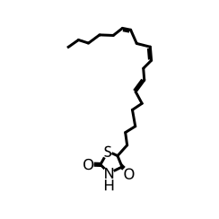 CCCCC/C=C\C/C=C\CC=CCCCCCC1SC(=O)NC1=O